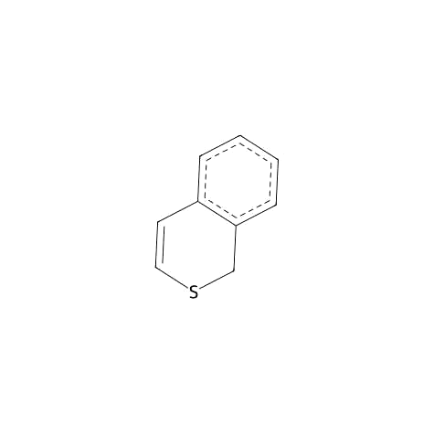 C1=Cc2ccccc2CS1